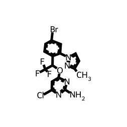 Cc1ccn(-c2cc(Br)ccc2C(Oc2cc(Cl)nc(N)n2)C(F)(F)F)n1